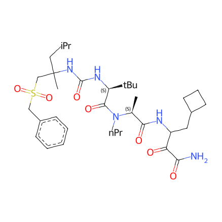 CCCN(C(=O)[C@@H](NC(=O)NC(C)(CC(C)C)CS(=O)(=O)Cc1ccccc1)C(C)(C)C)[C@@H](C)C(=O)NC(CC1CCC1)C(=O)C(N)=O